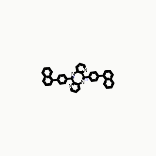 c1cnc2c(c1)/N=C(/c1ccc(-c3cccc4ccccc34)cc1)c1ncccc1/N=C\2c1ccc(-c2cccc3ccccc23)cc1